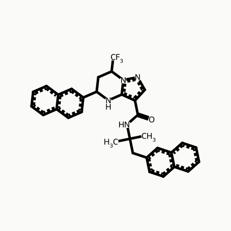 CC(C)(Cc1ccc2ccccc2c1)NC(=O)c1cnn2c1NC(c1ccc3ccccc3c1)CC2C(F)(F)F